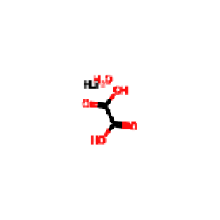 O.O=C(O)C(=O)O.[LiH]